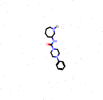 CCN1CCCCC(NC(=O)N2CCN(c3ccccc3)CC2)C1